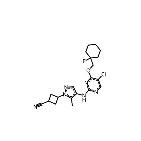 Cc1c(Nc2ncc(Cl)c(OCC3(F)CCCCC3)n2)cnn1C1CC(C#N)C1